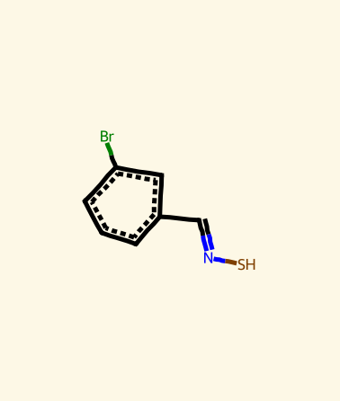 S/N=C/c1cccc(Br)c1